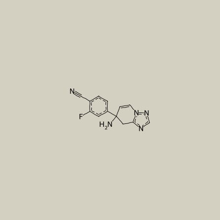 N#Cc1ccc(C2(N)C=Cn3ncnc3C2)cc1F